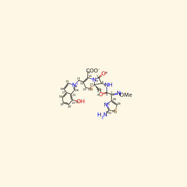 CON=C(C(=O)NC1C(=O)N2C(C(=O)[O-])=C(C[n+]3ccc4cccc(O)c4c3)CS[C@@H]12)c1csc(N)n1